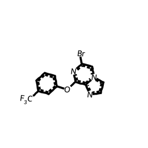 FC(F)(F)c1cccc(Oc2nc(Br)cn3ccnc23)c1